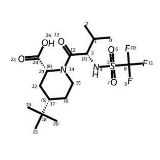 CC(C)[C@H](NS(=O)(=O)C(F)(F)F)C(=O)N1CC[C@H](C(C)(C)C)C[C@@H]1C(=O)O